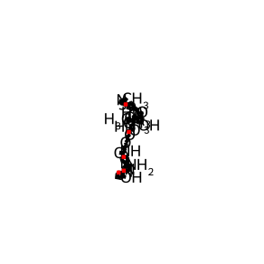 Cc1ncsc1-c1ccc(CNC(=O)[C@@H]2C[C@@H](O)CN2C(=O)[C@@H](CNC(=O)COCCOCCNC(=O)C2CCN(c3cc(-c4ccccc4O)nnc3N)CC2)C(C)(C)C)cc1